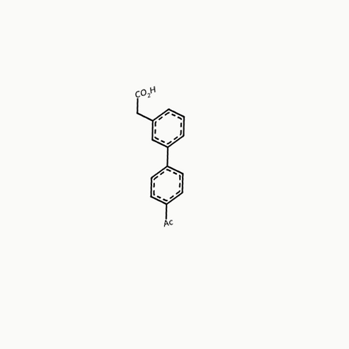 CC(=O)c1ccc(-c2cccc(CC(=O)O)c2)cc1